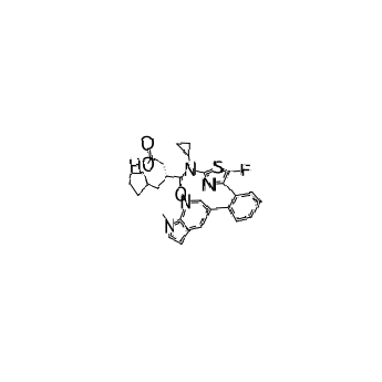 Cn1ccc2cc(-c3ccccc3-c3nc(N(C(=O)[C@@H](CC(=O)O)CC4CCCC4)C4CC4)sc3F)cnc21